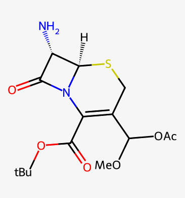 COC(OC(C)=O)C1=C(C(=O)OC(C)(C)C)N2C(=O)[C@H](N)[C@H]2SC1